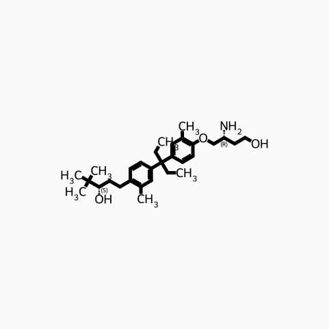 CCC(CC)(c1ccc(CC[C@H](O)C(C)(C)C)c(C)c1)c1ccc(OC[C@H](N)CCO)c(C)c1